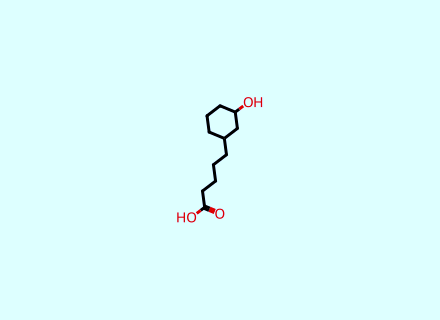 O=C(O)CCCCC1CCCC(O)C1